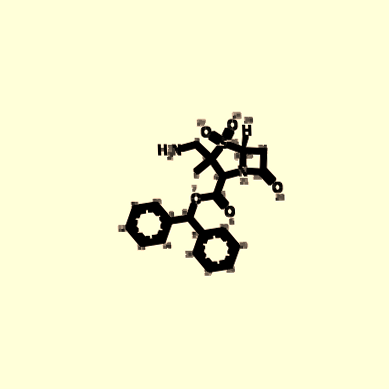 CC1(CN)C(C(=O)OC(c2ccccc2)c2ccccc2)N2C(=O)C[C@H]2S1(=O)=O